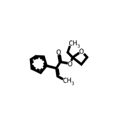 CC=C(C(=O)OC1(CC)CCO1)c1ccccc1